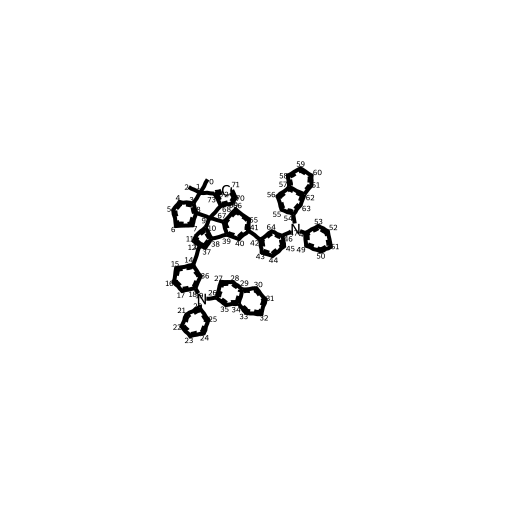 CC1(C)c2ccccc2C2(c3ccc(-c4cccc(N(c5ccccc5)c5ccc6ccccc6c5)c4)cc3-c3cc(-c4cccc(N(c5ccccc5)c5ccc6ccccc6c5)c4)ccc32)c2ccccc21